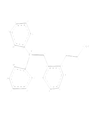 OCCc1ccccc1CP(c1ccccc1)c1ccccc1